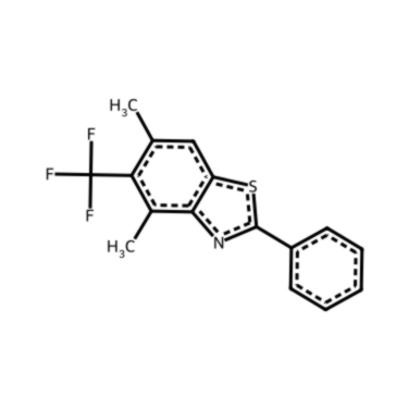 Cc1cc2sc(-c3ccccc3)nc2c(C)c1C(F)(F)F